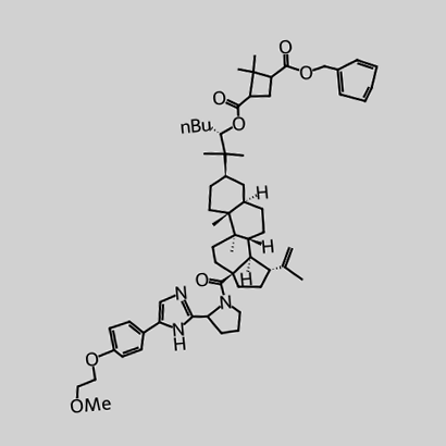 C=C(C)[C@@H]1CC[C@]2(C(=O)N3CCCC3c3ncc(-c4ccc(OCCOC)cc4)[nH]3)CC[C@]3(C)[C@H](CC[C@@H]4C[C@H](C(C)(C)[C@H](CCCC)OC(=O)C5CC(C(=O)OCc6ccccc6)C5(C)C)CC[C@]43C)[C@@H]12